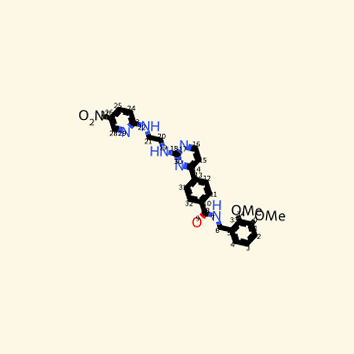 COc1cccc(CNC(=O)c2ccc(-c3ccnc(NCCNc4ccc([N+](=O)[O-])cn4)n3)cc2)c1OC